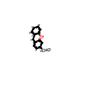 O=Cc1ccc2c(c1)Oc1ccccc1C2